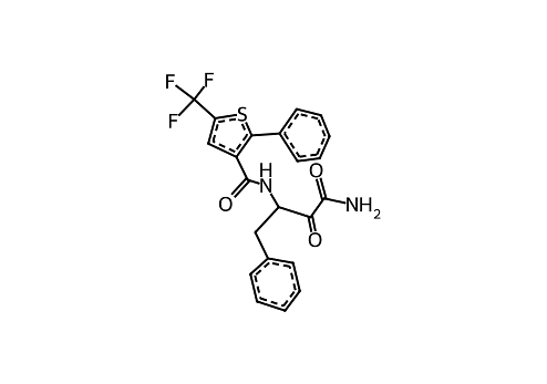 NC(=O)C(=O)C(Cc1ccccc1)NC(=O)c1cc(C(F)(F)F)sc1-c1ccccc1